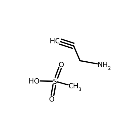 C#CCN.CS(=O)(=O)O